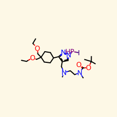 CCOCC1(COCC)CCC(c2nn(PI)cc2CN(C)CCN(C)C(=O)OC(C)(C)C)CC1